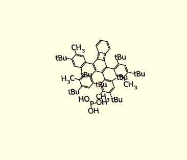 Cc1cc(-c2c(-c3cc(C)c(C(C)(C)C)cc3C(C)(C)C)c(-c3cc(C)c(C(C)(C)C)cc3C(C)(C)C)c3c(c2-c2cc(C)c(C(C)(C)C)cc2C(C)(C)C)=c2ccccc2=3)c(C(C)(C)C)cc1C(C)(C)C.OP(O)O